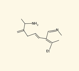 C=C(C/C=C/C(/C=N\C)=C(/C)CC)C(C)N